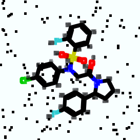 O=C(CN(c1ccc(Cl)cc1)S(=O)(=O)c1ccccc1F)N1CCCC1c1ccc(F)cc1